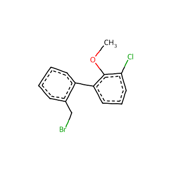 COc1c(Cl)cccc1-c1ccccc1CBr